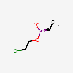 C/C=[P+](\[O-])OCCCl